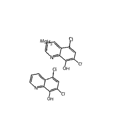 Oc1c(Cl)cc(Cl)c2cccnc12.Oc1c(Cl)cc(Cl)c2cccnc12.[MgH2]